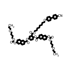 C=CCOCCCCOC(=O)Oc1ccc2cc(C(=O)Oc3ccc(OC(=O)c4ccc5cc(OC(=O)OCCCCOCC=C)ccc5c4)c(C(=O)OCCCCCCCCOc4ccc(-c5ccc(C#N)cc5)cc4)c3)ccc2c1